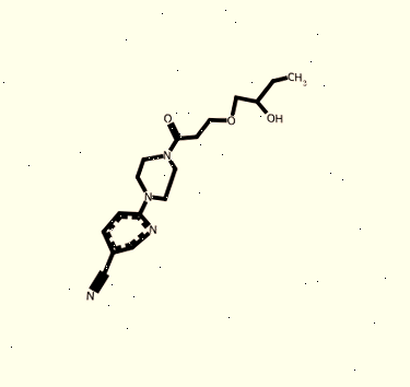 CCC(O)COCCC(=O)N1CCN(c2ccc(C#N)cn2)CC1